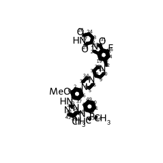 COc1cc(N2CCN(C3CCN(Cc4cc(F)c5c(c4)CN(C4CCC(=O)NC4=O)C5=O)CC3)CC2)ccc1Nc1ncc(Cl)c(Nc2ccccc2P(C)C)n1